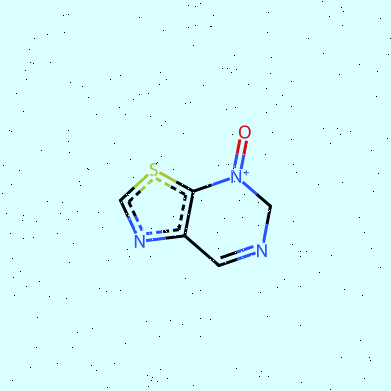 O=[N+]1CN=Cc2ncsc21